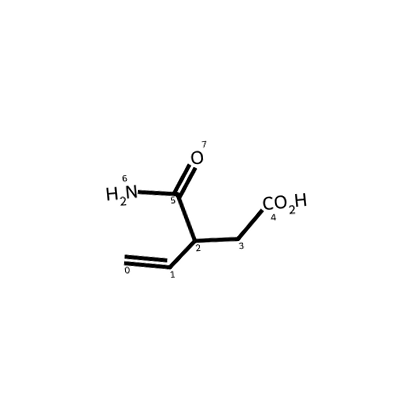 C=CC(CC(=O)O)C(N)=O